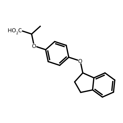 CC(Oc1ccc(OC2CCc3ccccc32)cc1)C(=O)O